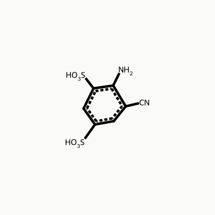 N#Cc1cc(S(=O)(=O)O)cc(S(=O)(=O)O)c1N